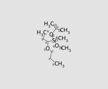 CCCOC(CC)[Si](C)(OC)OC(C)C